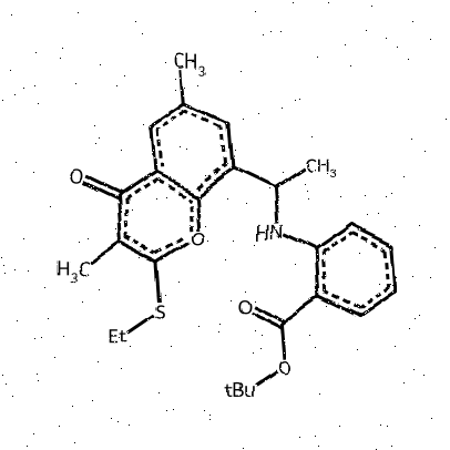 CCSc1oc2c(C(C)Nc3ccccc3C(=O)OC(C)(C)C)cc(C)cc2c(=O)c1C